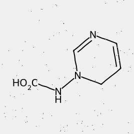 O=C(O)NN1C=NC=CC1